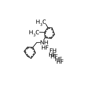 Cc1cccc(NCc2ccccc2)c1C.F.F.F.F.F.F